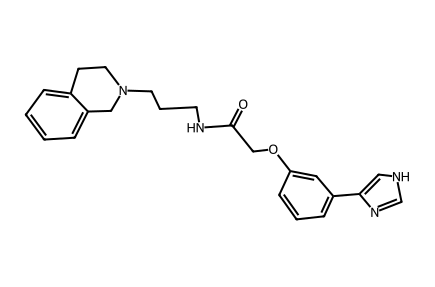 O=C(COc1cccc(-c2c[nH]cn2)c1)NCCCN1CCc2ccccc2C1